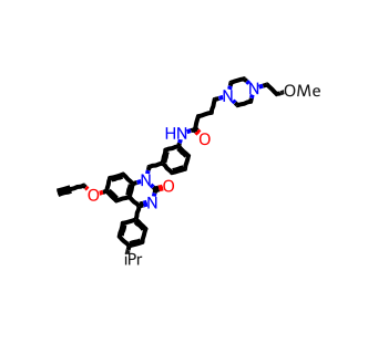 C#CCOc1ccc2c(c1)c(-c1ccc(C(C)C)cc1)nc(=O)n2Cc1cccc(NC(=O)CCCN2CCN(CCOC)CC2)c1